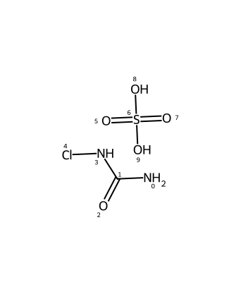 NC(=O)NCl.O=S(=O)(O)O